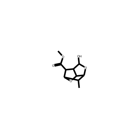 COC(=O)C1C2OC3C(OC(O)C31)C2C